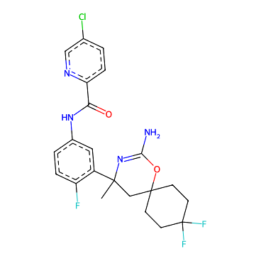 CC1(c2cc(NC(=O)c3ccc(Cl)cn3)ccc2F)CC2(CCC(F)(F)CC2)OC(N)=N1